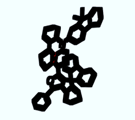 CC1(C)c2ccccc2-c2ccc(N(c3ccc(-c4oc(-c5ccccc5)c5c4C4(c6ccccc6-c6ccccc64)c4ccccc4-5)cc3)c3ccccc3-c3ccccc3)cc21